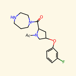 CC(=O)N1CC(Oc2cccc(F)c2)CC1C(=O)N1CCCNCC1